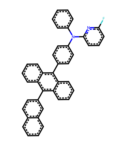 Fc1cccc(N(c2ccccc2)c2ccc(-c3c4ccccc4c(-c4ccc5ccccc5c4)c4ccccc34)cc2)n1